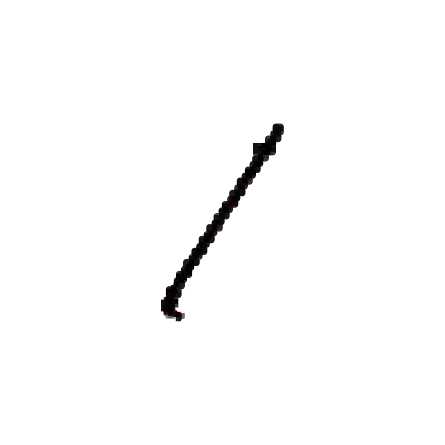 COCCOCCOCCC(=O)NCCOCCOCCOCCOCCOCCOCCOCCOCCOCCOCCOCCOCCOCCOCCOCCOCCOCCOCCOCCOCCOCCOCCOCCCC(=O)OC1CC[C@]2(C)C(=CC[C@@H]3[C@H]4CC[C@@H]([C@@H](C)CCCC(C)C)[C@]4(C)CC[C@H]32)C1